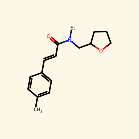 CCN(CC1CCCO1)C(=O)/C=C/c1ccc(C)cc1